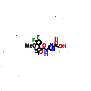 COc1c(C2[C@H](C(=O)Nc3cnc([C@H](O)CO)nc3)OC(C)(C)[C@H]2C)ccc(F)c1F